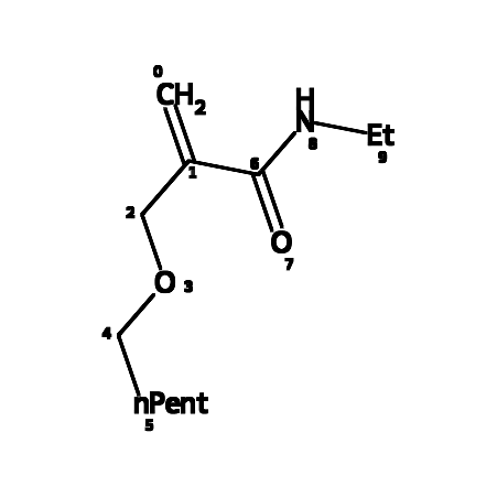 C=C(COCCCCCC)C(=O)NCC